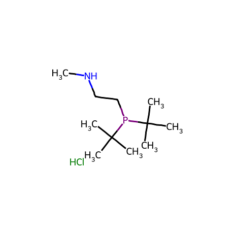 CNCCP(C(C)(C)C)C(C)(C)C.Cl